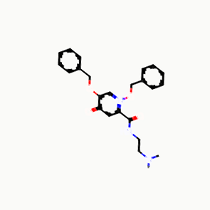 CCN(C)CCNC(=O)c1cc(=O)c(OCc2ccccc2)cn1OCc1ccccc1